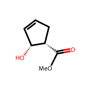 COC(=O)[C@H]1CC=C[C@H]1O